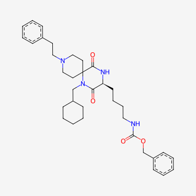 O=C(NCCCC[C@@H]1NC(=O)C2(CCN(CCc3ccccc3)CC2)N(CC2CCCCC2)C1=O)OCc1ccccc1